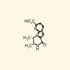 C[C@@H]1NC(=O)c2cc3ccc(C(=O)O)nc3n2[C@H]1C